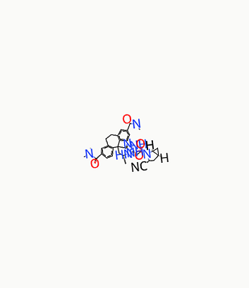 C[C@@H](CC1(c2n[nH]c(=O)[nH]2)c2ccc(C(=O)N(C)C)cc2CCc2cc(C(=O)N(C)C)ccc21)NCC(=O)N1[C@H](C#N)C[C@@H]2C[C@@H]21